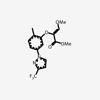 CO/C=C(\Oc1cc(-n2ccc(C(F)(F)F)n2)ccc1C)C(=O)OC